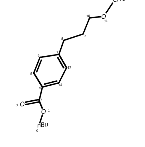 CCCCOC(=O)c1ccc(CCCOC=O)cc1